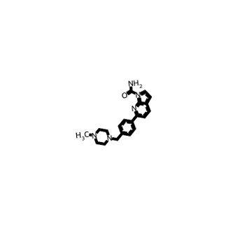 CN1CCN(Cc2ccc(-c3ccc4ccn(C(N)=O)c4n3)cc2)CC1